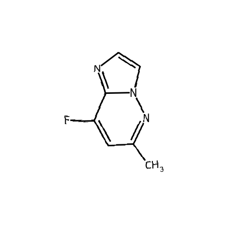 Cc1cc(F)c2nccn2n1